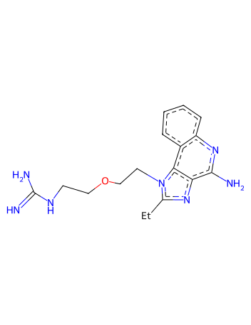 CCc1nc2c(N)nc3ccccc3c2n1CCOCCNC(=N)N